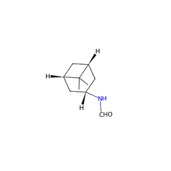 CC1(C)[C@@H]2C[C@@H](NC=O)C[C@H]1C2